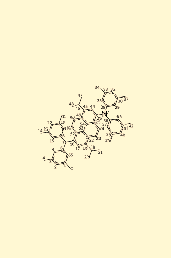 Cc1cc(C)cc(C(c2cc(C)cc(C)c2)c2cc(C(C)C)c3ccc4c(N(c5cc(C)cc(C)c5)c5cc(C)cc(C)c5)cc(C(C)C)c5ccc2c3c54)c1